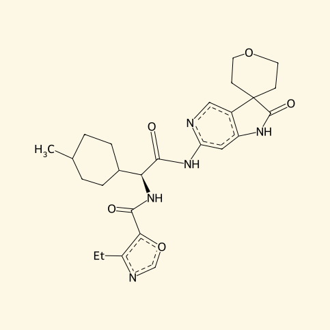 CCc1ncoc1C(=O)N[C@H](C(=O)Nc1cc2c(cn1)C1(CCOCC1)C(=O)N2)C1CCC(C)CC1